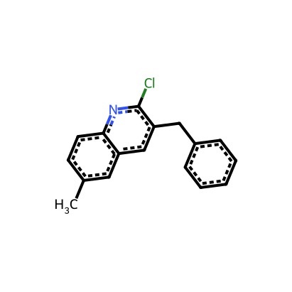 Cc1ccc2nc(Cl)c(Cc3ccccc3)cc2c1